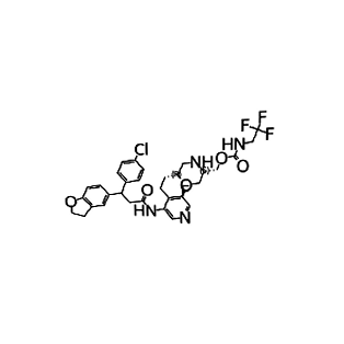 O=C(CC(c1ccc(Cl)cc1)c1ccc2c(c1)CCO2)Nc1cncc(F)c1CC[C@@H]1CN[C@H](COC(=O)NCC(F)(F)F)CO1